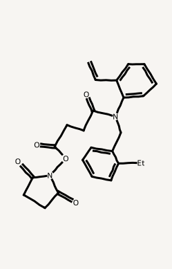 C=Cc1ccccc1N(Cc1ccccc1CC)C(=O)CCC(=O)ON1C(=O)CCC1=O